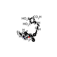 CCC(=O)NCCNC(=O)/N=C(/N)NCCC[C@@H](NC(=O)[C@H](c1ccc(OCCCNC(=O)CCN(C)CCNC(=O)CN2CCN(CC(=O)O)CCN(CC(=O)O)CCN(CC(=O)O)CC2)cc1)N1Cc2ccccc2C1)C(=O)NCc1c(F)cc(O)cc1F